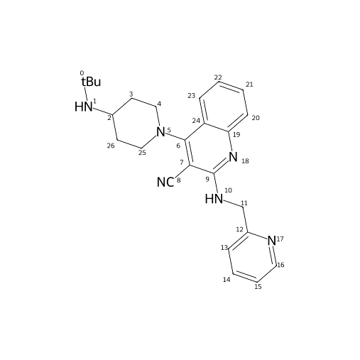 CC(C)(C)NC1CCN(c2c(C#N)c(NCc3ccccn3)nc3ccccc23)CC1